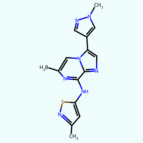 Bc1cn2c(-c3cnn(C)c3)cnc2c(Nc2cc(C)ns2)n1